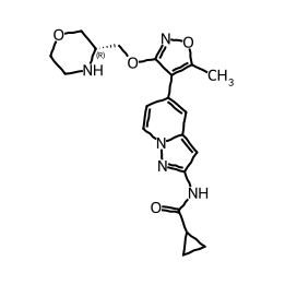 Cc1onc(OC[C@H]2COCCN2)c1-c1ccn2nc(NC(=O)C3CC3)cc2c1